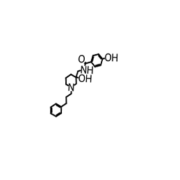 O=C(NCC1(O)CCCN(CCCc2ccccc2)C1)c1ccc(O)cc1